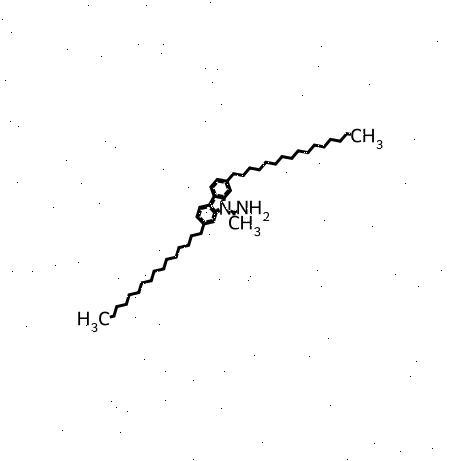 CCCCCCCCCCCCCCCCc1ccc2c3ccc(CCCCCCCCCCCCCCCC)cc3n(C(C)N)c2c1